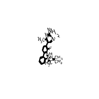 Cc1nc(N)ncc1-c1ccc(-c2ccccc2S(=O)(=O)NC(C)(C)C)cc1F